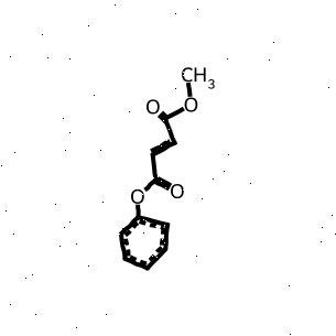 COC(=O)C=CC(=O)Oc1ccccc1